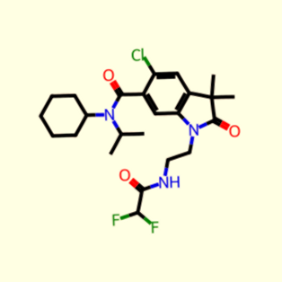 CC(C)N(C(=O)c1cc2c(cc1Cl)C(C)(C)C(=O)N2CCNC(=O)C(F)F)C1CCCCC1